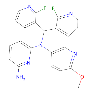 COc1ccc(N(c2cccc(N)n2)C(c2cccnc2F)c2cccnc2F)cn1